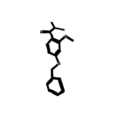 COc1cc(OCc2ccccc2)ccc1C(=O)C(C)Br